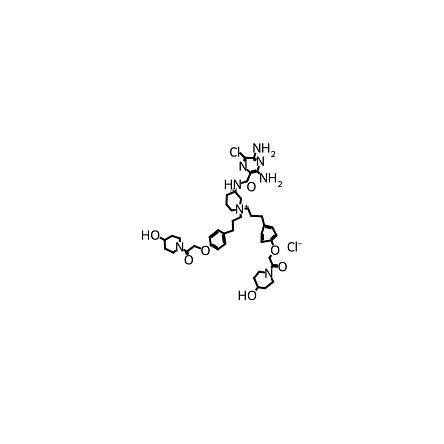 Nc1nc(N)c(C(=O)N[C@H]2CCC[N+](CCCc3ccc(OCC(=O)N4CCC(O)CC4)cc3)(CCCc3ccc(OCC(=O)N4CCC(O)CC4)cc3)C2)nc1Cl.[Cl-]